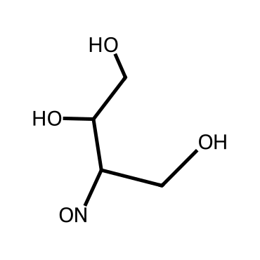 O=NC(CO)C(O)CO